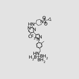 BC(B)(B)NCc1ccc(-n2cc(-c3nc(NC4CCN(S(=O)(=O)C5CC5)CC4)ncc3C(F)(F)F)cn2)c(C)c1